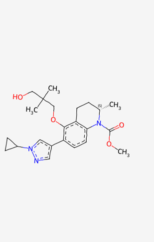 COC(=O)N1c2ccc(-c3cnn(C4CC4)c3)c(OCC(C)(C)CO)c2CC[C@@H]1C